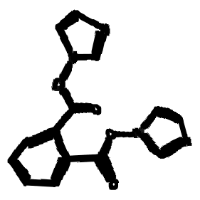 O=C(On1ccnc1)c1ccccc1C(=O)On1ccnc1